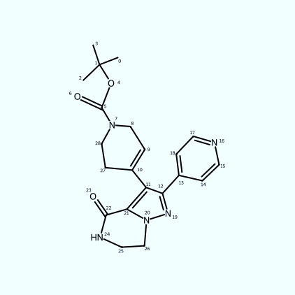 CC(C)(C)OC(=O)N1CC=C(c2c(-c3ccncc3)nn3c2C(=O)NCC3)CC1